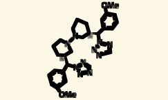 COc1cccc(C([C@H]2CCCN(N3CCC[C@H](C(c4cccc(OC)c4)n4ncnn4)C3)C2)n2ncnn2)c1